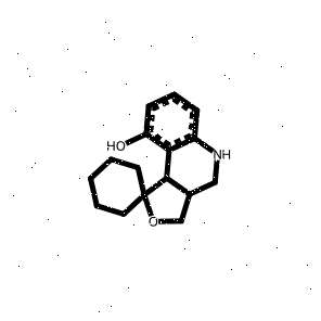 Oc1cccc2c1C1C(CN2)COC12CCCCC2